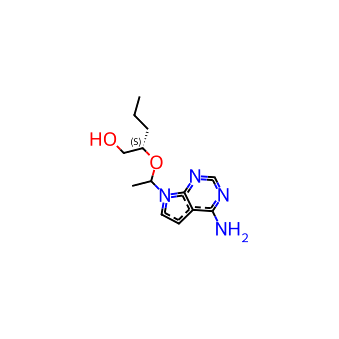 CCC[C@@H](CO)OC(C)n1ccc2c(N)ncnc21